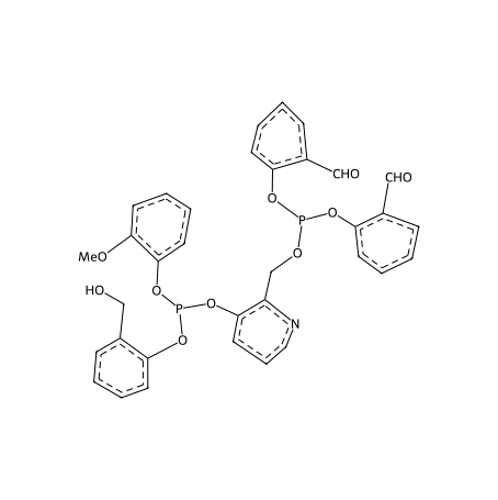 COc1ccccc1OP(Oc1ccccc1CO)Oc1cccnc1COP(Oc1ccccc1C=O)Oc1ccccc1C=O